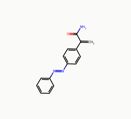 C=C(C(N)=O)c1ccc(/N=N/c2ccccc2)cc1